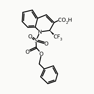 O=C(O)C1=Cc2ccccc2N(S(=O)(=O)C(=O)OCc2ccccc2)[C@@H]1C(F)(F)F